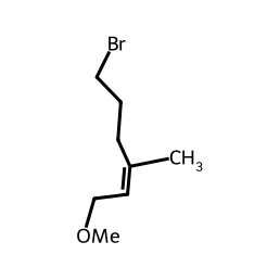 COCC=C(C)CCCBr